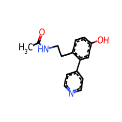 CC(=O)NCCc1ccc(O)cc1-c1ccncc1